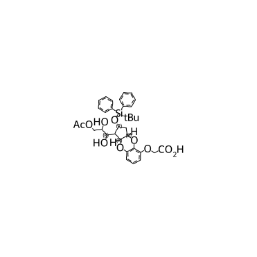 CC(=O)OCC(O)[C@H](O)C1[C@H]2Oc3cccc(OCC(=O)O)c3O[C@H]2C[C@H]1O[Si](c1ccccc1)(c1ccccc1)C(C)(C)C